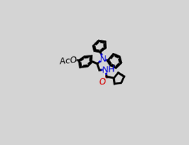 CC(=O)Oc1ccc(C(CNC(=O)C2CCCC2)N(c2ccccc2)c2ccccc2)cc1